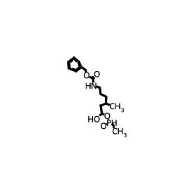 CC[PH](=O)OC(O)CC(C)CCCNC(=O)OCc1ccccc1